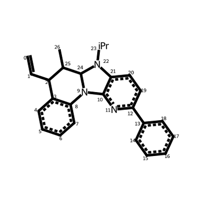 C=CC1c2ccccc2N2c3nc(-c4ccccc4)ccc3N(C(C)C)C2C1C